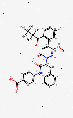 [2H]C([2H])([2H])C([2H])([2H])C(=O)c1ccc(Cl)cc1-c1cc(=O)n([C@@H](Cc2ccccc2)C(=O)Nc2ccc(C(=O)O)cc2)nc1OC